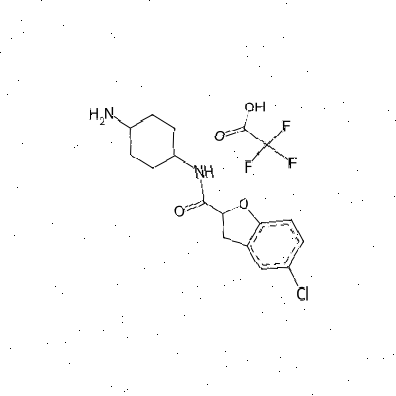 NC1CCC(NC(=O)C2Cc3cc(Cl)ccc3O2)CC1.O=C(O)C(F)(F)F